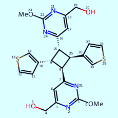 COc1nc(CO)cc([C@H]2[C@H](c3ccsc3)[C@H](c3cc(CO)nc(OC)n3)[C@H]2c2ccsc2)n1